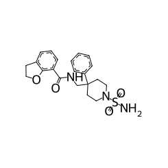 NS(=O)(=O)N1CCC(CNC(=O)c2cccc3c2OCC3)(c2ccccc2)CC1